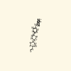 C=CC1CCC(C2CCC(c3ccc(CN=[N+]=[N-])cc3)CC2)CC1